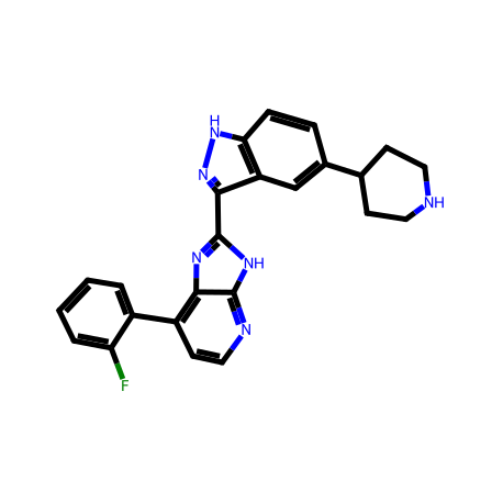 Fc1ccccc1-c1ccnc2[nH]c(-c3n[nH]c4ccc(C5CCNCC5)cc34)nc12